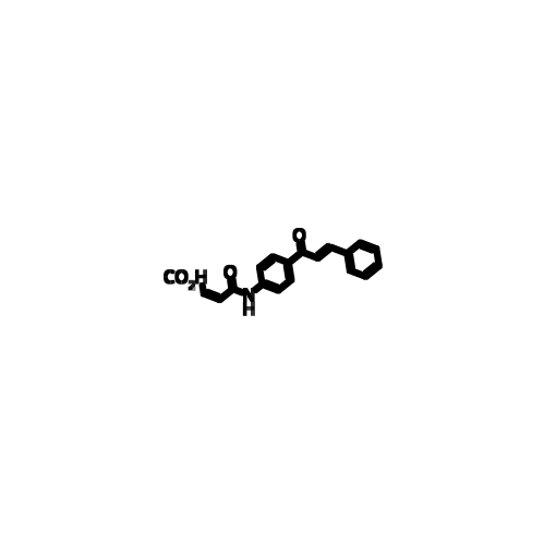 O=C(O)/C=C\C(=O)Nc1ccc(C(=O)/C=C/c2ccccc2)cc1